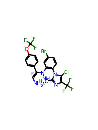 Cc1nc(C(F)(F)F)c(Cl)n1-c1ccc(Br)cc1N(N)/C(=C\N)c1ccc(OC(F)(F)F)cc1